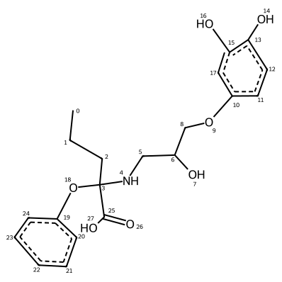 CCCC(NCC(O)COc1ccc(O)c(O)c1)(Oc1ccccc1)C(=O)O